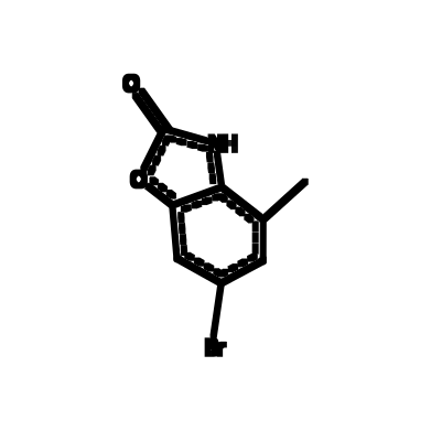 Cc1cc(Br)cc2oc(=O)[nH]c12